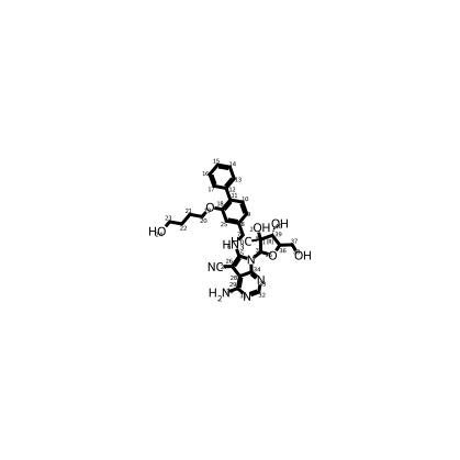 C[C@]1(O)C(n2c(NCc3ccc(-c4ccccc4)c(OCCCCO)c3)c(C#N)c3c(N)ncnc32)OC(CO)[C@H]1O